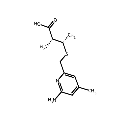 Cc1cc(N)nc(CS[C@@H](C)[C@H](N)C(=O)O)c1